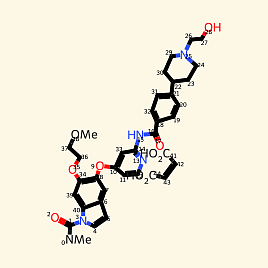 CNC(=O)n1ccc2cc(Oc3ccnc(NC(=O)c4ccc(C5CCN(CCO)CC5)cc4)c3)c(OCCOC)cc21.O=C(O)/C=C\C(=O)O